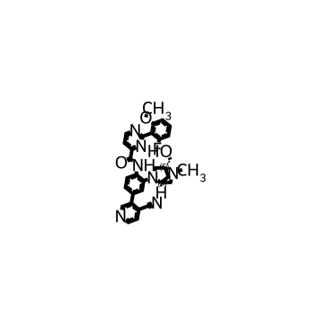 COc1cccc(F)c1-c1nccc(C(=O)Nc2ccc(-c3cnccc3C#N)cc2N2C[C@]3(CO)C[C@H]2CN3C)n1